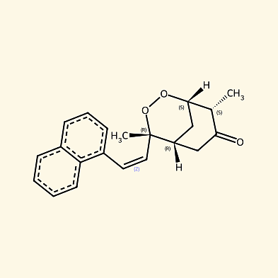 C[C@@H]1C(=O)C[C@H]2C[C@@H]1OO[C@@]2(C)/C=C\c1cccc2ccccc12